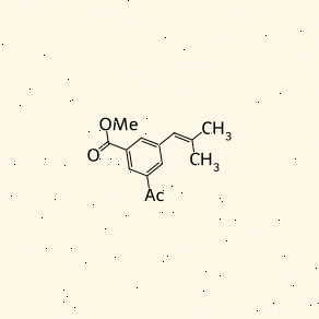 COC(=O)c1cc(C=C(C)C)cc(C(C)=O)c1